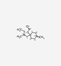 [CH2]CN(C)CC1(SN=O)CCN(C)CC1